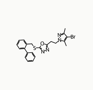 Cc1nn(CCc2nnc(SCc3ccccc3-c3ccccc3)o2)c(C)c1Br